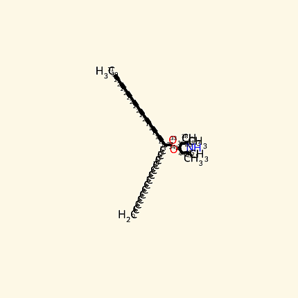 C=C=C=C=C=C=C=C=C=C=C=C=C=C=C(C#CC#CC#CC#CC#CC#CC#CC#CC)C(=O)OC1CC(C)(C)NC(C)(C)C1